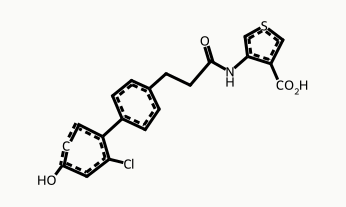 O=C(CCc1ccc(-c2ccc(O)cc2Cl)cc1)Nc1cscc1C(=O)O